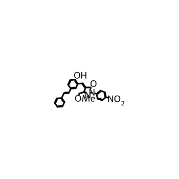 COCC1=NN(c2ccc([N+](=O)[O-])cc2)C(=O)/C1=C/c1cc(/C=C/c2ccccc2)ccc1O